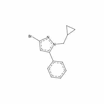 Brc1cc(-c2ccccc2)n(CC2CC2)n1